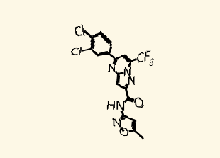 Cc1cc(NC(=O)c2cc3nc(-c4ccc(Cl)c(Cl)c4)cc(C(F)(F)F)n3n2)no1